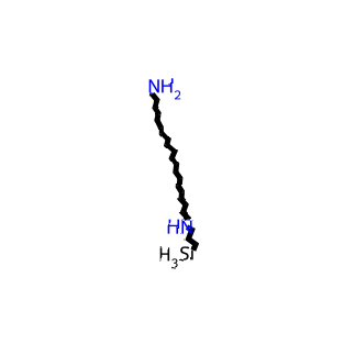 NCCCCCCCCCCCCCCCCCCCCNCCC[SiH3]